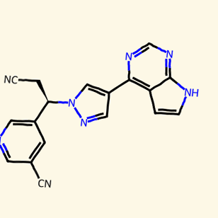 N#CC[C@H](c1cncc(C#N)c1)n1cc(-c2ncnc3[nH]ccc23)cn1